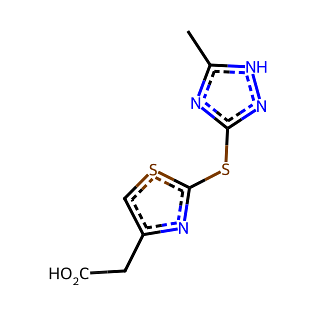 Cc1nc(Sc2nc(CC(=O)O)cs2)n[nH]1